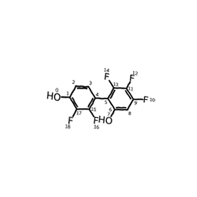 Oc1ccc(-c2c(O)cc(F)c(F)c2F)c(F)c1F